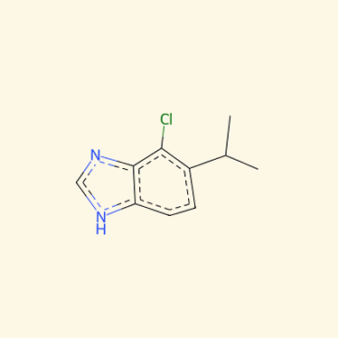 CC(C)c1ccc2[nH]cnc2c1Cl